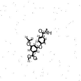 CNC(=O)c1ccc(Oc2cc(OC(C)C)cc(C(=O)OC)c2)cc1